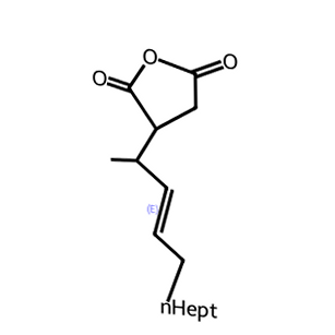 CCCCCCCC/C=C/C(C)C1CC(=O)OC1=O